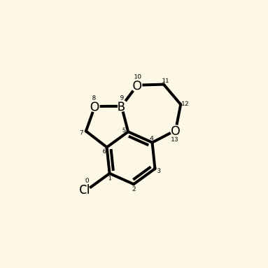 Clc1ccc2c3c1COB3OCCO2